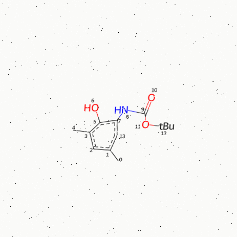 Cc1cc(C)c(O)c(NC(=O)OC(C)(C)C)c1